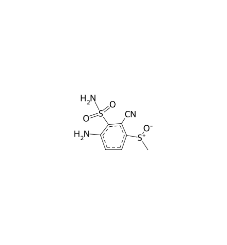 C[S+]([O-])c1ccc(N)c(S(N)(=O)=O)c1C#N